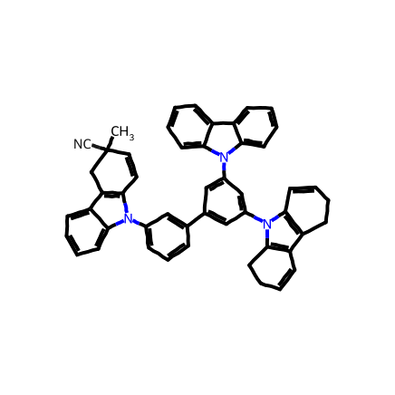 CC1(C#N)C=Cc2c(c3ccccc3n2-c2cccc(-c3cc(-n4c5c(c6c4CCC=C6)CCC=C5)cc(-n4c5ccccc5c5ccccc54)c3)c2)C1